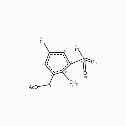 CC(=O)OCc1cc(Cl)cc(S(=O)(=O)Cl)c1C